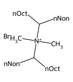 CCCCCCCCCC(CCCCCCCC)[N+](C)(C)C(CCCCCCCC)CCCCCCCCC.[Br-]